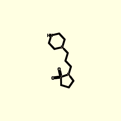 O=S1(=O)CCCN1CCCN1CCNCC1